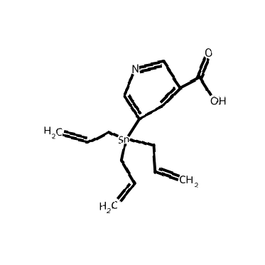 C=C[CH2][Sn]([CH2]C=C)([CH2]C=C)[c]1cncc(C(=O)O)c1